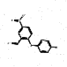 [CH]=Cc1cc([N+](=O)[O-])ccc1Sc1ccc(Cl)cc1